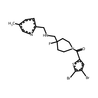 Cc1ccc(CNCC2(F)CCN(C(=O)c3cc(Br)c(Br)s3)CC2)nc1